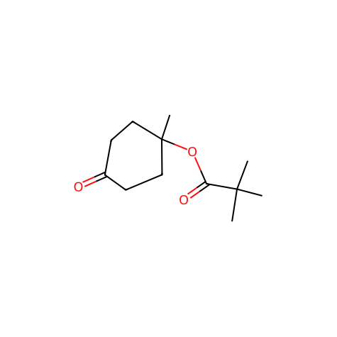 CC1(OC(=O)C(C)(C)C)CCC(=O)CC1